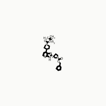 CC(C)(C)OC(=O)N1CCC(c2ccnc3[nH]c([C@@H]4CCN(C(=O)OCc5ccccc5)C4)nc23)CC1